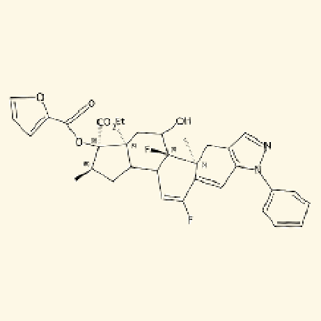 CCOC(=O)[C@@]1(OC(=O)c2ccco2)[C@H](C)CC2C3C=C(F)C4=Cc5c(cnn5-c5ccccc5)C[C@]4(C)[C@@]3(F)C(O)C[C@@]21C